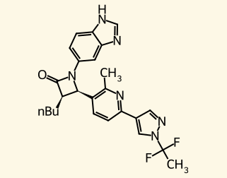 CCCC[C@H]1C(=O)N(c2ccc3[nH]cnc3c2)[C@H]1c1ccc(-c2cnn(C(C)(F)F)c2)nc1C